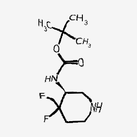 CC(C)(C)OC(=O)N[C@H]1CNCCC1(F)F